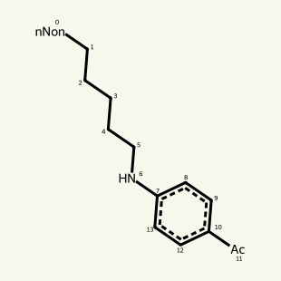 CCCCCCCCCCCCCCNc1ccc(C(C)=O)cc1